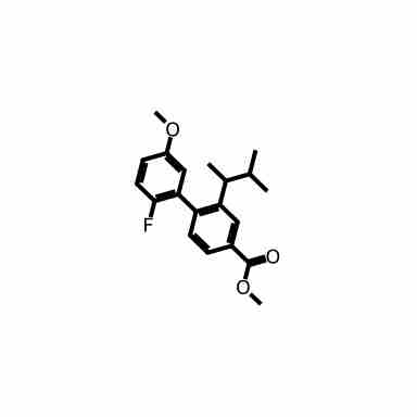 COC(=O)c1ccc(-c2cc(OC)ccc2F)c(C(C)C(C)C)c1